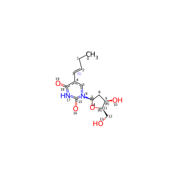 CC/C=C/c1cn([C@H]2C[C@@H](O)[C@@H](CO)O2)c(=O)[nH]c1=O